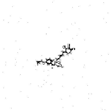 COCN([C@H](C)c1cccc(OCC2CC2)c1)S(=O)(=O)CC/C=C/CC1CCC(=O)NC1=O